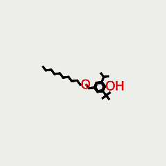 CCCCCCCCCCOCc1cc(C(C)C)c(O)c(C(C)(C)C)c1